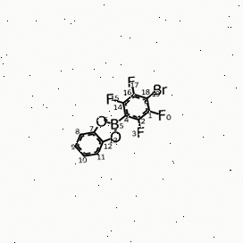 Fc1c(F)c(B2Oc3ccccc3O2)c(F)c(F)c1Br